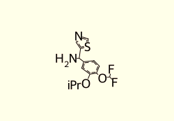 CC(C)Oc1cc(C(N)c2cncs2)ccc1OC(F)F